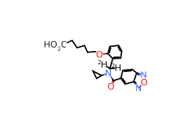 [2H]C([2H])(c1ccccc1OCCCCCC(=O)O)N(C(=O)c1ccc2nonc2c1)C1CC1